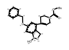 CC(C)(C)OC(=O)N1CC=C(c2cc(OCc3ccccc3)cc3c2COB3O)CC1